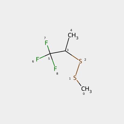 CSSC(C)C(F)(F)F